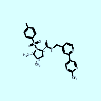 C[C@H]1C[C@@H](C(=O)NCc2ccnc(-c3cnc(C(F)(F)F)nc3)c2)N(S(=O)(=O)c2ccc(F)cc2)[C@H]1C